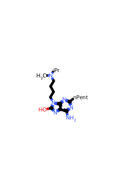 CCCCCc1nc(N)c2nc(O)n(CCCCN(C)C(C)C)c2n1